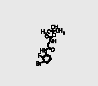 CC(C)(C)OC(=O)NCC(=O)Nc1cccc(Br)c1F